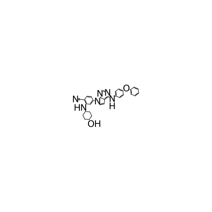 N#Cc1ccc(-n2ccc3c(Nc4ccc(Oc5ccccc5)cc4)ncnc32)cc1NC1CCC(O)CC1